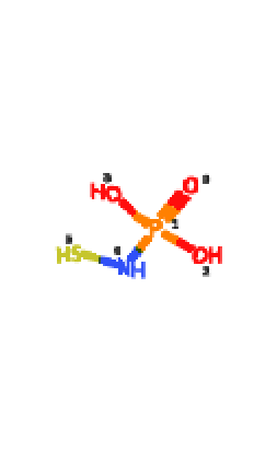 O=P(O)(O)NS